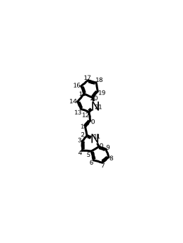 C(=Cc1ccc2ccccc2n1)c1ccc2ccccc2n1